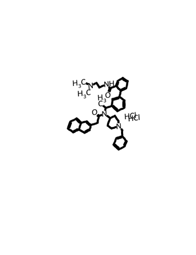 CC(c1cccc(-c2ccccc2C(=O)NCCN(C)C)c1)N(C(=O)Cc1ccc2ccccc2c1)C1CCN(Cc2ccccc2)CC1.Cl.Cl